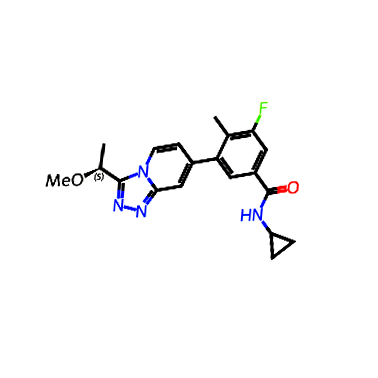 CO[C@@H](C)c1nnc2cc(-c3cc(C(=O)NC4CC4)cc(F)c3C)ccn12